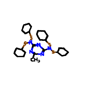 Cc1nc(N(SC2CCCCC2)SC2CCCCC2)nc(N(SC2CCCCC2)SC2CCCCC2)n1